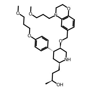 COCCCOc1ccc([C@H]2C[C@H](CC[C@H](C)O)NC[C@@H]2OCc2ccc3c(c2)N(CCCOC)CCO3)cc1